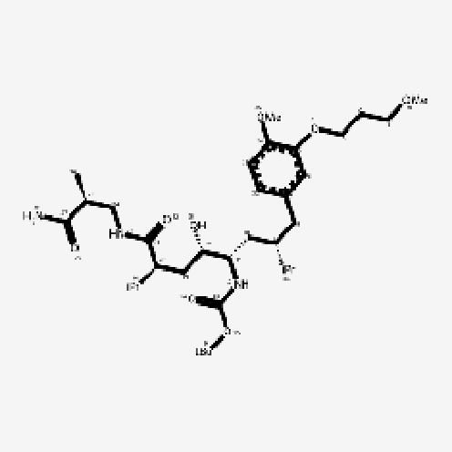 COCCCOc1cc(C[C@@H](C[C@H](NC(=O)OC(C)(C)C)[C@@H](O)C[C@H](C(=O)NC[C@H](C)C(N)=O)C(C)C)C(C)C)ccc1OC